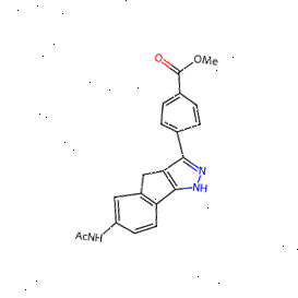 COC(=O)c1ccc(-c2n[nH]c3c2Cc2cc(NC(C)=O)ccc2-3)cc1